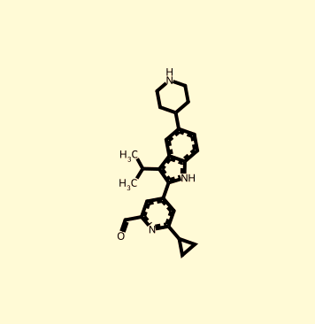 CC(C)c1c(-c2cc(C=O)nc(C3CC3)c2)[nH]c2ccc(C3CCNCC3)cc12